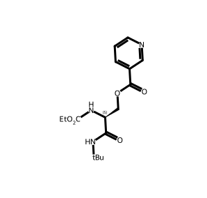 CCOC(=O)N[C@@H](COC(=O)c1cccnc1)C(=O)NC(C)(C)C